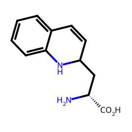 N[C@H](CC1C=Cc2ccccc2N1)C(=O)O